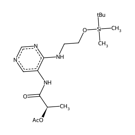 CC(=O)O[C@H](C)C(=O)Nc1cncnc1NCCO[Si](C)(C)C(C)(C)C